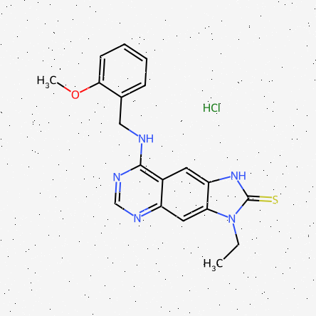 CCn1c(=S)[nH]c2cc3c(NCc4ccccc4OC)ncnc3cc21.Cl